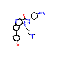 CN(C)CCCNc1c(C(=O)N[C@H]2CC[C@H](N)CC2)cnc2ccc(-c3ccc(O)cc3)cc12